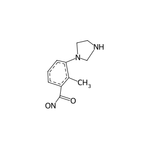 Cc1c(C(=O)N=O)cccc1N1CCNC1